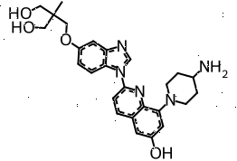 CC(CO)(CO)COc1ccc2c(c1)ncn2-c1ccc2cc(O)cc(N3CCC(N)CC3)c2n1